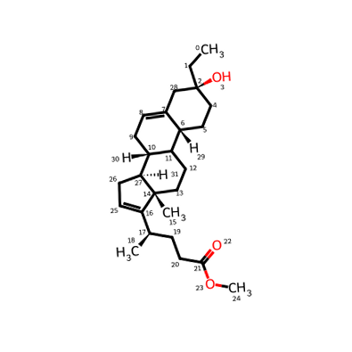 CC[C@]1(O)CC[C@H]2C(=CC[C@@H]3C2CC[C@]2(C)C([C@H](C)CCC(=O)OC)=CC[C@@H]32)C1